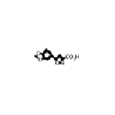 O=C(O)c1cc(-c2ccc3c(c2)OCO3)on1